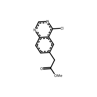 COC(=O)Cc1ccc2ncnc(Cl)c2c1